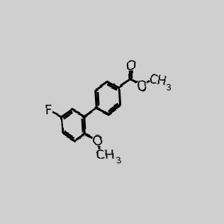 COC(=O)c1ccc(-c2cc(F)ccc2OC)cc1